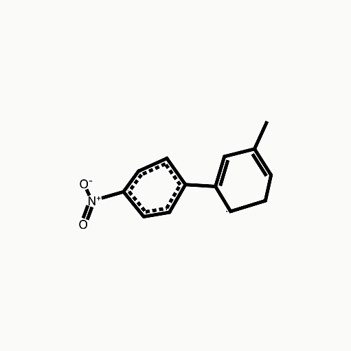 CC1=CC[CH]C(c2ccc([N+](=O)[O-])cc2)=C1